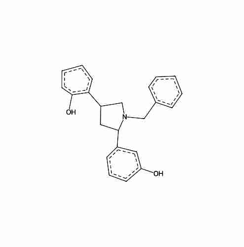 Oc1cccc(C2CC(c3ccccc3O)CN2Cc2ccccc2)c1